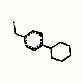 BrCc1ccc(C2CCCCC2)cn1